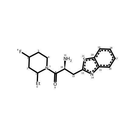 CCC1CC(F)CCN1C(=O)[C@@H](N)Cc1nc2ccccc2s1